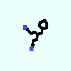 N#CC=CC(C=CC#N)=Cc1ccccc1